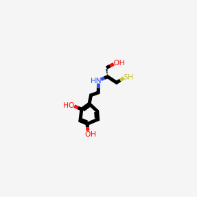 OC[C@H](CS)NCCc1ccc(O)cc1O